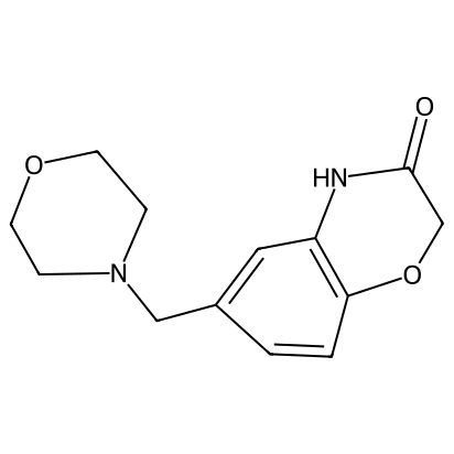 O=C1COc2ccc(CN3CCOCC3)cc2N1